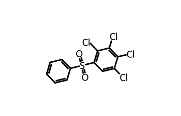 O=S(=O)(c1ccccc1)c1cc(Cl)c(Cl)c(Cl)c1Cl